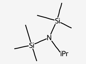 CC(C)N([Si](C)(C)C)[Si](C)(C)C